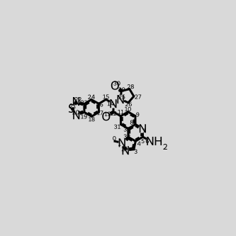 Cn1ncc2c(N)nc3ccc(C(=O)N(Cc4ccc5nsnc5c4)N4CCCC4=O)cc3c21